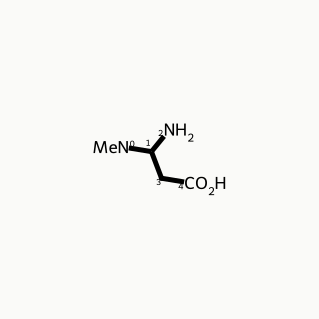 CNC(N)CC(=O)O